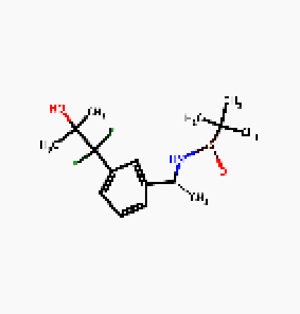 C[C@@H](N[S@+]([O-])C(C)(C)C)c1cccc(C(F)(F)C(C)(C)O)c1